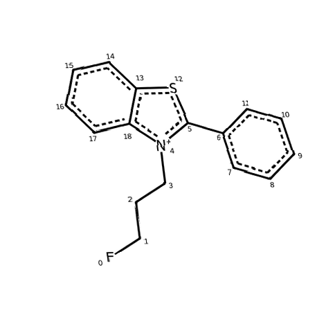 FCCC[n+]1c(-c2ccccc2)sc2ccccc21